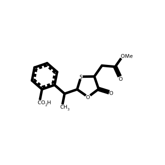 COC(=O)CC1SC(C(C)c2ccccc2C(=O)O)OC1=O